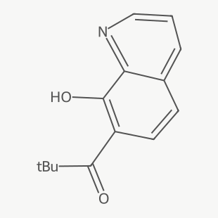 CC(C)(C)C(=O)c1ccc2cccnc2c1O